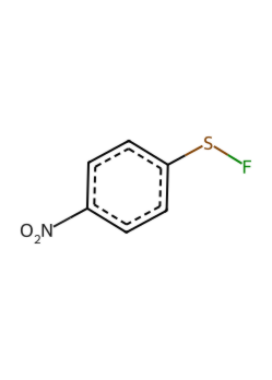 O=[N+]([O-])c1ccc(SF)cc1